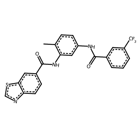 Cc1ccc(NC(=O)c2cccc(C(F)(F)F)c2)cc1NC(=O)c1ccc2ncsc2c1